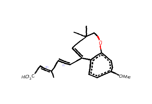 COc1ccc2c(c1)OCC(C)(C)C=C2/C=C/C(C)=C/C(=O)O